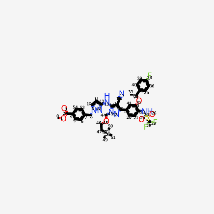 COC(=O)c1ccc(Cn2ccc(Nc3c(C#N)c(-c4ccc(NS(=O)(=O)C(F)F)c(O[C@@H](C)c5ccc(F)cc5)c4)nn3COCC[Si](C)(C)C)n2)cc1